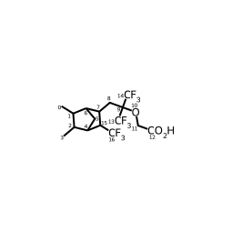 CC1C(C)C2CC1C(CC(OCC(=O)O)(C(F)(F)F)C(F)(F)F)C2C(F)(F)F